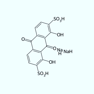 O=C1c2ccc(S(=O)(=O)O)c(O)c2C(=O)c2c1ccc(S(=O)(=O)O)c2O.[NaH].[NaH]